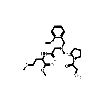 COC(=O)C(CCSC)NC(=O)CN(Cc1ccccc1OC)C[C@@H]1CCCN1C(=O)CN